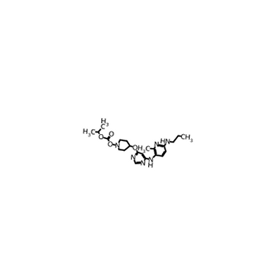 CCCNc1ccc(Nc2cc(OC3CCN(OC(=O)OC(C)C)CC3)ncn2)c(C)n1